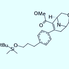 COC(=O)C1=C(c2ccc(CCCO[Si](C)(C)C(C)(C)C)cc2)CC2COC[C@H]1N2C